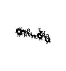 O=C(NCCCOc1ccc2c(c1)c(I)nn2C1CCCCO1)OCc1ccccc1